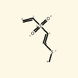 C=CS(=O)(=O)/C=C/SC